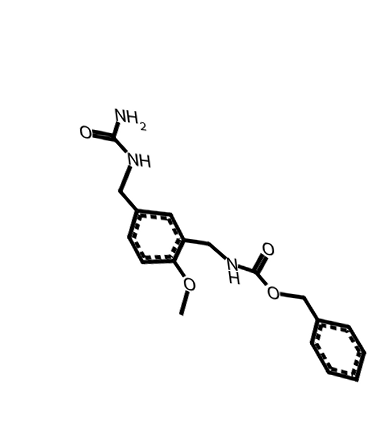 COc1ccc(CNC(N)=O)cc1CNC(=O)OCc1ccccc1